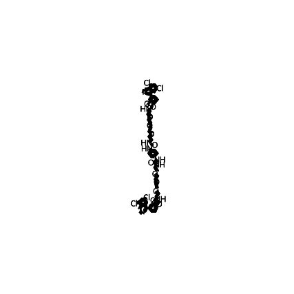 CN1Cc2c(Cl)cc(Cl)cc2[C@H](c2cccc(S(=O)(=O)NCCOCCOCCOCCNC(=O)Nc3ccc(NC(=O)NCCOCCOCCOCCNS(=O)(=O)c4cccc([C@@H]5CN(C)Cc6c(Cl)cc(Cl)cc65)c4)cc3)c2)C1